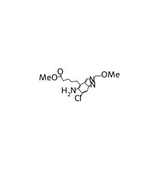 COCCn1cc2c(CCCCC(=O)OC)c(N)c(Cl)cc2n1